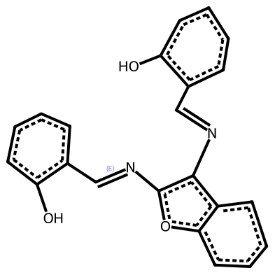 Oc1ccccc1C=Nc1c(/N=C/c2ccccc2O)oc2ccccc12